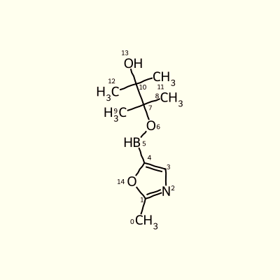 Cc1ncc(BOC(C)(C)C(C)(C)O)o1